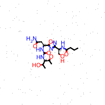 CCCC(=O)N[C@@H](CO)c1noc([C@H](CC(N)=O)NC(=O)N[C@H](C(C)=O)C(C)O)n1